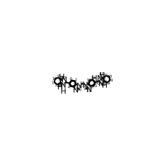 c1cc2c(cc1C1=N[C@@H]3CCCC[C@@H]3N1)ncn2Cn1cnc2cc(C3=N[C@@H]4CCCC[C@@H]4N3)ccc21